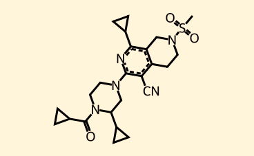 CS(=O)(=O)N1CCc2c(C#N)c(N3CCN(C(=O)C4CC4)C(C4CC4)C3)nc(C3CC3)c2C1